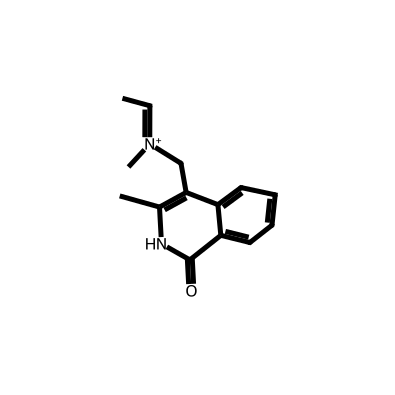 C/C=[N+](\C)Cc1c(C)[nH]c(=O)c2ccccc12